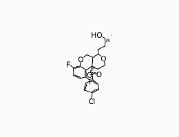 C[C@@H](O)CCC1OCC[C@@]2(S(=O)(=O)c3ccc(Cl)cc3)c3c(F)ccc(F)c3OCC12